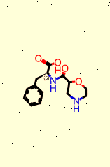 O=C(N[C@@H](Cc1ccccc1)C(=O)O)C1CNCCO1